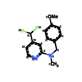 COc1ccc(CN(C)c2cc(C(F)F)ccn2)cc1